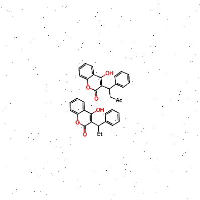 CC(=O)CC(c1ccccc1)c1c(O)c2ccccc2oc1=O.CCC(c1ccccc1)c1c(O)c2ccccc2oc1=O